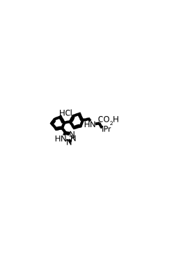 CC(C)C(NCc1ccc(-c2ccccc2-c2nnn[nH]2)cc1)C(=O)O.Cl